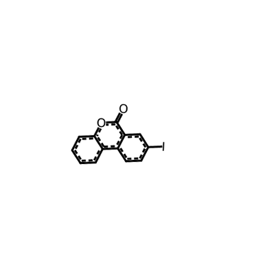 O=c1oc2ccccc2c2ccc(I)cc12